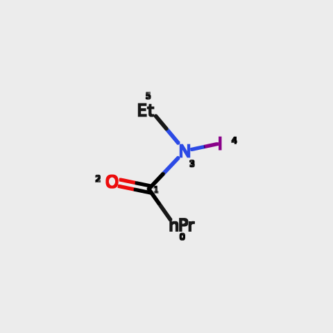 CCCC(=O)N(I)CC